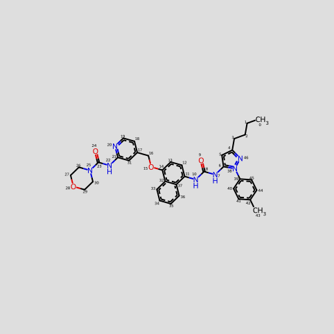 CCCCc1cc(NC(=O)Nc2ccc(OCc3ccnc(NC(=O)N4CCOCC4)c3)c3ccccc23)n(-c2ccc(C)cc2)n1